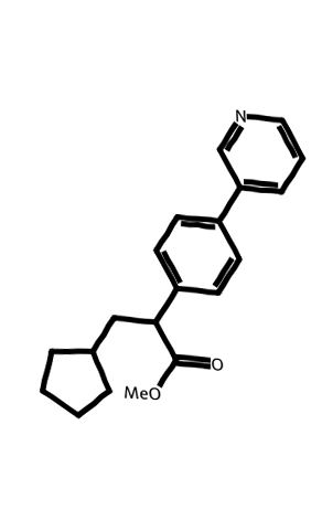 COC(=O)C(CC1CCCC1)c1ccc(-c2cccnc2)cc1